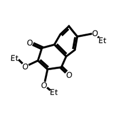 CCOC1=C(OCC)C(=O)c2cc(OCC)ccc2C1=O